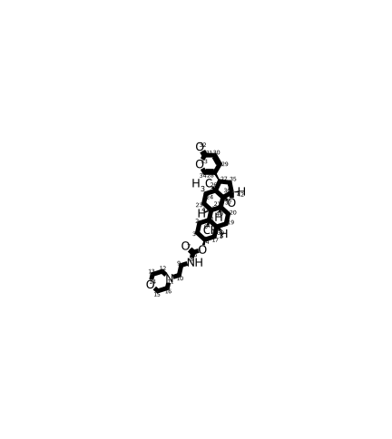 C[C@]12CC[C@H](OC(=O)NCCN3CCOCC3)C[C@H]1CC[C@@H]1[C@@H]2CC[C@]2(C)[C@@H](c3ccc(=O)oc3)[C][C@H]3O[C@]132